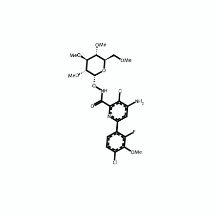 COC[C@H]1O[C@H](ONC(=O)c2nc(-c3ccc(Cl)c(OC)c3F)cc(N)c2Cl)[C@H](OC)[C@@H](OC)[C@@H]1OC